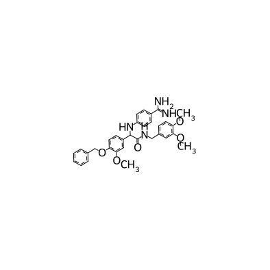 COc1ccc(CNC(=O)C(Nc2ccc(C(=N)N)cc2)c2ccc(OCc3ccccc3)c(OC)c2)cc1OC